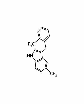 FC(F)(F)c1ccc2[nH]cc(Cc3ccccc3C(F)(F)F)c2c1